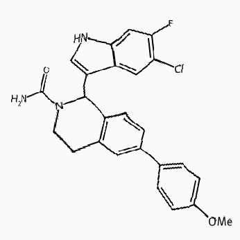 COc1ccc(-c2ccc3c(c2)CCN(C(N)=O)C3c2c[nH]c3cc(F)c(Cl)cc23)cc1